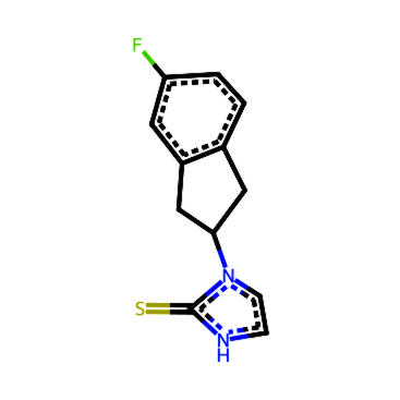 Fc1ccc2c(c1)CC(n1cc[nH]c1=S)C2